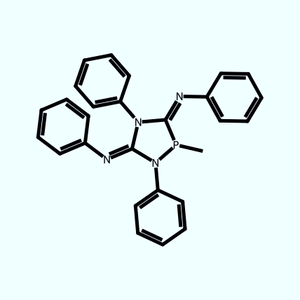 Cp1/c(=N\c2ccccc2)n(-c2ccccc2)/c(=N\c2ccccc2)n1-c1ccccc1